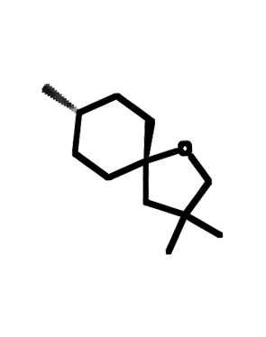 CC1(C)CO[C@]2(CC[C@@H](C)CC2)C1